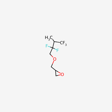 CC(C(F)(F)F)C(F)(F)COCC1CO1